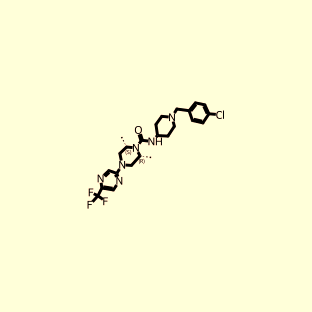 C[C@@H]1CN(c2cnc(C(F)(F)F)cn2)C[C@H](C)N1C(=O)NC1CCN(Cc2ccc(Cl)cc2)CC1